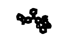 c1ccc(N(c2ccc3c(c2)Oc2ccccc2C32c3ccccc3-c3ccccc32)c2ccc3sc4ccccc4c3c2)cc1